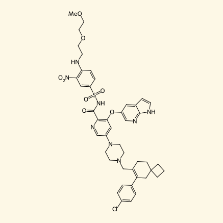 COCCOCCNc1ccc(S(=O)(=O)NC(=O)c2ncc(N3CCN(CC4=C(c5ccc(Cl)cc5)CC5(CCC5)CC4)CC3)cc2Oc2cnc3[nH]ccc3c2)cc1[N+](=O)[O-]